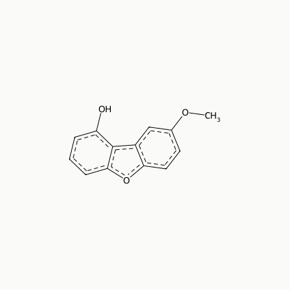 COc1ccc2oc3cccc(O)c3c2c1